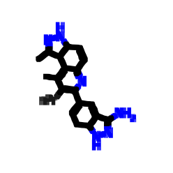 CCCc1c(C2=CCC3NN=C(N)C3=C2)nc2c(c1C)C1C(C)=NNC1C=C2